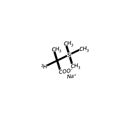 [2H]C(C)(C(=O)[O-])[Si](C)(C)C.[Na+]